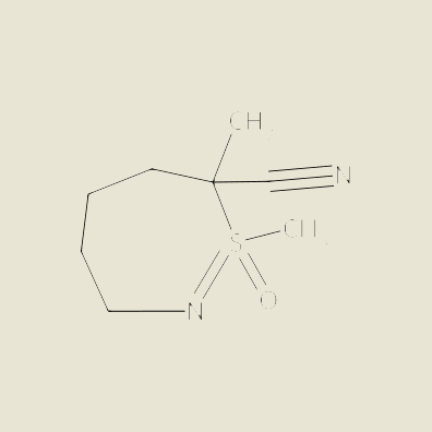 CC1(C#N)CCCCN=S1(C)=O